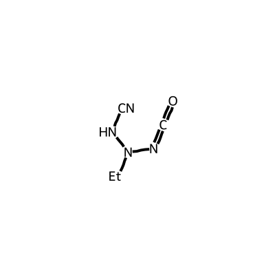 CCN(N=C=O)NC#N